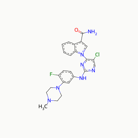 CN1CCN(c2cc(Nc3ncc(Cl)c(-n4cc(C(N)=O)c5ccccc54)n3)ccc2F)CC1